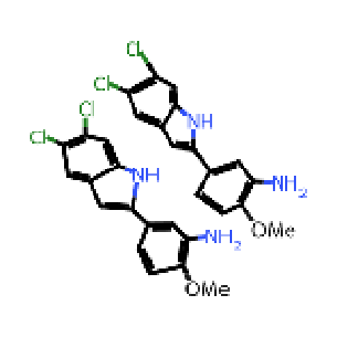 COc1ccc(-c2cc3cc(Cl)c(Cl)cc3[nH]2)cc1N.COc1ccc(-c2cc3cc(Cl)c(Cl)cc3[nH]2)cc1N